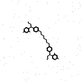 CCCC(c1ccc(CCCCCCCc2ccc(C(CCC)c3ccc(N)cc3C)cc2)cc1)c1ccc(N)cc1C